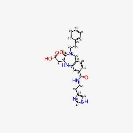 O=C(O)CC1Nc2cc(C(=O)NCCc3c[nH]cn3)ccc2CN(CCc2ccccc2)C1=O